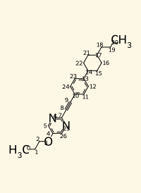 CCCOc1cnc(C#Cc2ccc(C3CCC(CCC)CC3)cc2)nc1